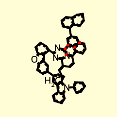 C=C/C=C(\C=C/c1cccc2ccccc12)c1nc(-c2cccc(-c3cccc4ccccc34)c2)nc(-c2cccc3oc4ccc(-c5ccc6c(c5)c5ccccc5n6-c5ccccc5)cc4c23)n1